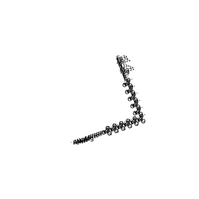 O=[Si]([O-])[O-].O=[Si]([O-])[O-].O=[Si]([O-])[O-].O=[Si]([O-])[O-].O=[Si]([O-])[O-].O=[Si]([O-])[O-].O=[Si]([O-])[O-].O=[Si]([O-])[O-].O=[Si]([O-])[O-].O=[Si]([O-])[O-].O=[Si]([O-])[O-].[Al+3].[Al+3].[Al+3].[F-].[F-].[F-].[F-].[F-].[F-].[F-].[F-].[F-].[F-].[F-].[Fe+3].[Fe+3].[Fe+3].[K+].[K+].[K+].[Mg+2].[Mg+2].[Mg+2].[Mn+2].[Mn+2].[Mn+2]